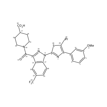 COc1cccc(-c2nc(-n3nc(C(=O)N4CCC(C(=O)O)CC4)c4cc(C(F)(F)F)ccc43)sc2C(C)C)c1